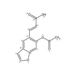 CC(=O)Oc1cc2occc2cc1/C=C/C(=O)O